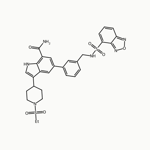 CCS(=O)(=O)N1CCC(c2c[nH]c3c(C(N)=O)cc(-c4cccc(CNS(=O)(=O)c5cccc6nonc56)c4)cc23)CC1